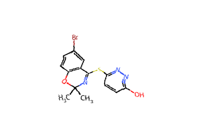 CC1(C)N=C(Sc2ccc(O)nn2)c2cc(Br)ccc2O1